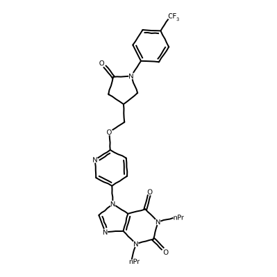 CCCn1c(=O)c2c(ncn2-c2ccc(OCC3CC(=O)N(c4ccc(C(F)(F)F)cc4)C3)nc2)n(CCC)c1=O